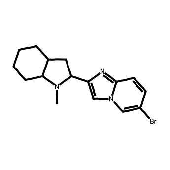 CN1C(c2cn3cc(Br)ccc3n2)CC2CCCCC21